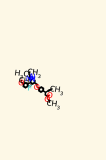 CC#CC(CC(=O)OCC)c1ccc(OCc2cc(-c3cc(OC)ccc3F)c3nc(C(C)C)nn3c2)cc1